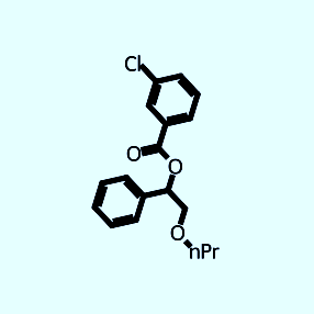 CCCOCC(OC(=O)c1cccc(Cl)c1)c1ccccc1